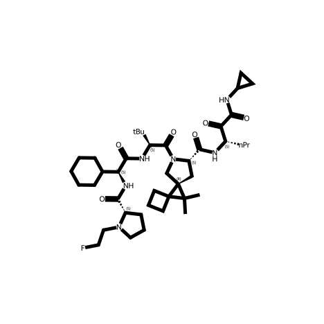 CCC[C@H](NC(=O)[C@@H]1C[C@@]2(CN1C(=O)[C@@H](NC(=O)[C@@H](NC(=O)[C@@H]1CCCN1CCF)C1CCCCC1)C(C)(C)C)C(C)(C)C21CCC1)C(=O)C(=O)NC1CC1